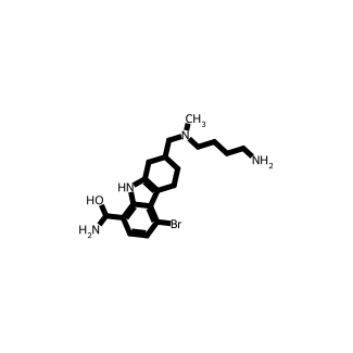 CN(CCCCN)CC1CCc2c([nH]c3c(C(N)O)ccc(Br)c23)C1